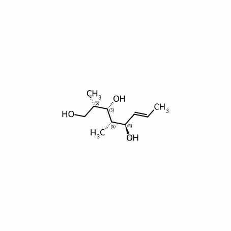 CC=C[C@@H](O)[C@H](C)[C@@H](O)[C@@H](C)CO